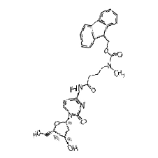 CN(CCCC(=O)Nc1ccn([C@H]2C[C@@H](O)[C@@H](CO)O2)c(=O)n1)C(=O)OCC1c2ccccc2-c2ccccc21